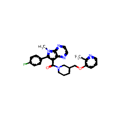 Cn1c(-c2ccc(F)cc2)c(C(=O)N2CCCC(COc3cccnc3C(F)(F)F)C2)c2nccnc21